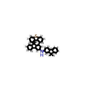 CC1(C)c2ccccc2-c2ccc(Nc3cc4c(c(-c5cccc6sc7ccccc7c56)c3)C(C)(C)c3ccccc3-4)cc21